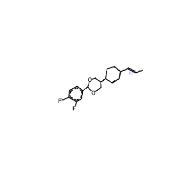 C/C=C/C1CCC(C2COC(c3ccc(F)c(F)c3)OC2)CC1